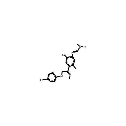 CCN(C)C=Nc1cc(C)c(C(COc2ccc(Cl)cc2)=NC)cc1Cl